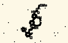 COCCOC(=O)Nc1ccc2c(c1)NCCCC[C@H](C)[C@H](NC(=O)/C=C/c1c(-n3cnnn3)ccc(Cl)c1F)c1cc-2ccn1